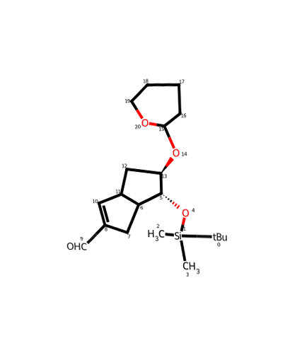 CC(C)(C)[Si](C)(C)O[C@@H]1C2CC(C=O)=CC2C[C@H]1OC1CCCCO1